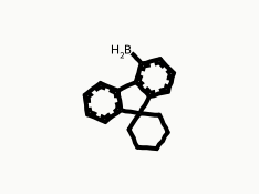 Bc1cccc2c1-c1ccccc1C21CCCCC1